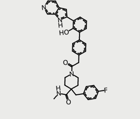 CNC(=O)C1(Cc2ccc(F)cc2)CCN(C(=O)Cc2ccc(-c3cccc(-c4cc5ccncc5[nH]4)c3O)cc2)CC1